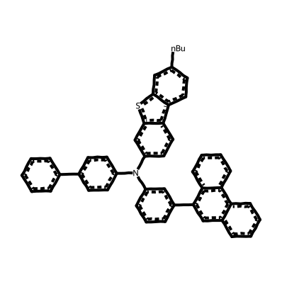 CCCCc1ccc2c(c1)sc1cc(N(c3ccc(-c4ccccc4)cc3)c3cccc(-c4cc5ccccc5c5ccccc45)c3)ccc12